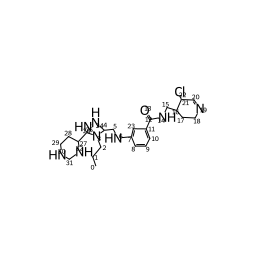 CCCN1C(CNc2cccc(C(=O)NCC3CCN=CC3Cl)c2)NNC1C1CCNCN1